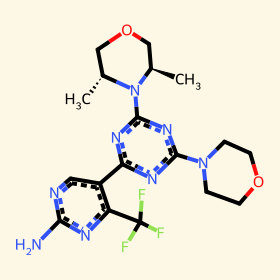 C[C@@H]1COC[C@@H](C)N1c1nc(-c2cnc(N)nc2C(F)(F)F)nc(N2CCOCC2)n1